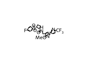 COc1nn(-c2ccc(C(F)(F)F)nc2)cc1CNC(=O)[C@@H]1CC[C@@H]1S(=O)(=O)c1ccc(F)cc1